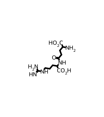 N=C(N)NCCCC(NC(=O)CCC(N)C(=O)O)C(=O)O